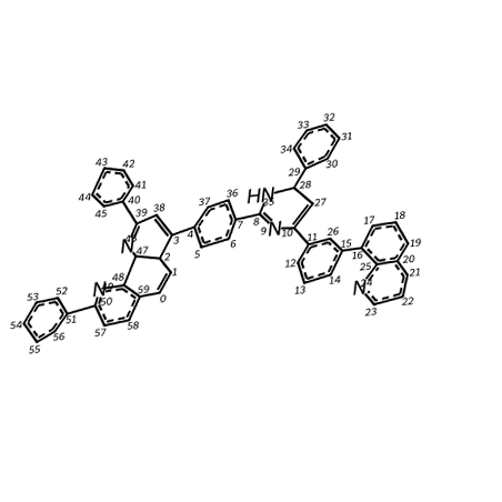 C1=CC2C(c3ccc(C4=NC(c5cccc(-c6cccc7cccnc67)c5)=CC(c5ccccc5)N4)cc3)=CC(c3ccccc3)=NC2c2nc(-c3ccccc3)ccc21